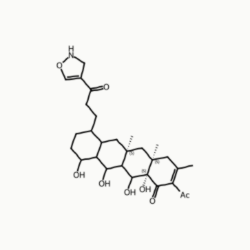 CC(=O)C1=C(C)C[C@]2(C)C[C@]3(C)CC4C(CCC(=O)C5=CONC5)CCC(O)C4C(O)C3C(O)[C@]2(O)C1=O